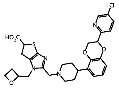 O=C(O)C1Cc2c(nc(CN3CCC(c4cccc5c4OCC(c4ccc(Cl)cn4)O5)CC3)n2CC2CCO2)S1